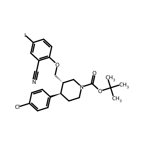 CC(C)(C)OC(=O)N1CC[C@@H](c2ccc(Cl)cc2)[C@H](COc2ccc(I)cc2C#N)C1